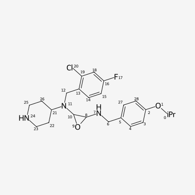 CC(C)Oc1ccc(CNC2OC2N(Cc2ccc(F)cc2Cl)C2CCNCC2)cc1